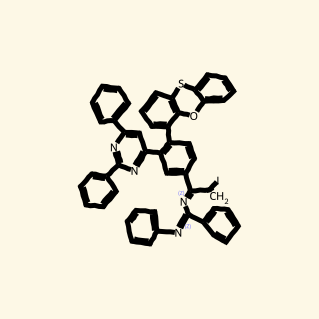 C=C(I)/C(=N\C(=N/c1ccccc1)c1ccccc1)c1ccc(-c2cccc3c2Oc2ccccc2S3)c(-c2cc(-c3ccccc3)nc(-c3ccccc3)n2)c1